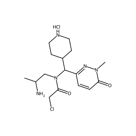 CC(N)CN(C(=O)CCl)C(c1ccc(=O)n(C)n1)C1CCNCC1.Cl